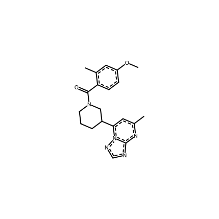 COc1ccc(C(=O)N2CCCC(c3cc(C)nc4ncnn34)C2)c(C)c1